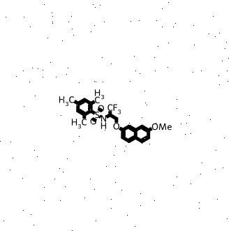 COc1ccc2ccc(OCC(NS(=O)(=O)c3c(C)cc(C)cc3C)C(F)(F)F)cc2c1